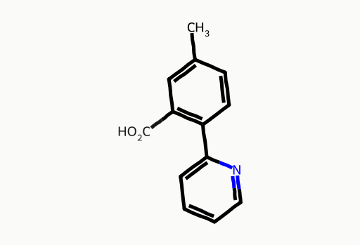 Cc1ccc(-c2ccccn2)c(C(=O)O)c1